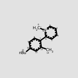 [CH2-][n+]1ccccc1-c1ccc(CCCC)cc1C